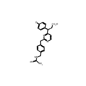 N=C(N)NCc1ccc(Cc2nccc(C(CC(=O)O)c3ccc(F)cc3)n2)cc1